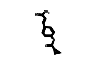 N=C(N)/C=C/c1ccc(OC(=O)C2CC2)cc1